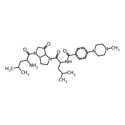 CC(C)CC(N)C(=O)N1CC(=O)C2C1CCN2C(=O)C(CC(C)C)NC(=O)c1ccc(N2CCN(C)CC2)cc1